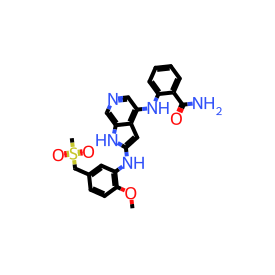 COc1ccc(CS(C)(=O)=O)cc1Nc1cc2c(Nc3ccccc3C(N)=O)cncc2[nH]1